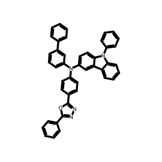 c1ccc(-c2cccc(N(c3ccc(-c4nnc(-c5ccccc5)o4)cc3)c3ccc4c(c3)c3ccccc3n4-c3ccccc3)c2)cc1